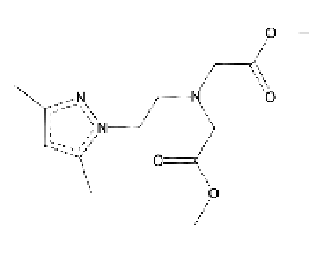 COC(=O)CN(CCn1nc(C)cc1C)CC(=O)OC